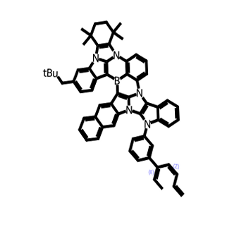 C=C/C=C\C(=C/C)c1cccc(-n2c3ccccc3c3c2n2c4cc5ccccc5cc4c4c2n3-c2cccc3c2B4c2c4ccc(CC(C)(C)C)cc4n4c5c(n-3c24)C(C)(C)CCC5(C)C)c1